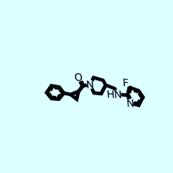 O=C(C1CC1c1ccccc1)N1CCC(CNc2ncccc2F)CC1